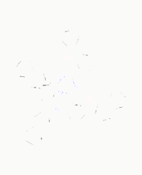 c1ccc2cc(-c3nc(-c4cccc5c4oc4ccccc45)nc(-c4c(-n5c6ccccc6c6cc7ccccc7cc65)ccc5c4oc4c6ccccc6ccc54)n3)ccc2c1